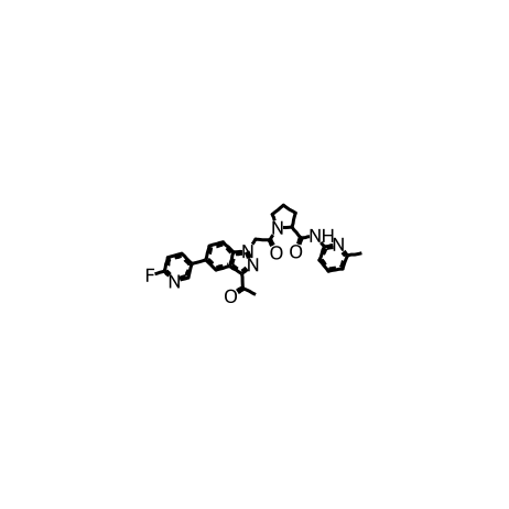 CC(=O)c1nn(CC(=O)N2CCCC2C(=O)Nc2cccc(C)n2)c2ccc(-c3ccc(F)nc3)cc12